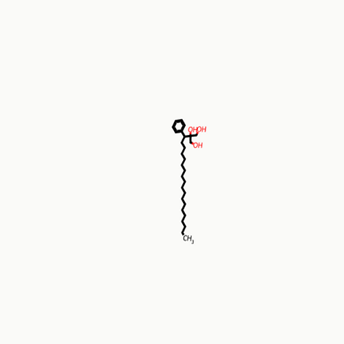 CCCCCCCCCCCCCCCCCCC(c1ccccc1)C(O)(CO)CO